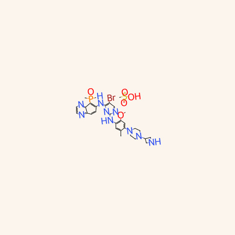 COc1cc(N2CCN(C3CNC3)CC2)c(C)cc1Nc1ncc(Br)c(Nc2ccc3nccnc3c2P(C)(C)=O)n1.CS(=O)(=O)O